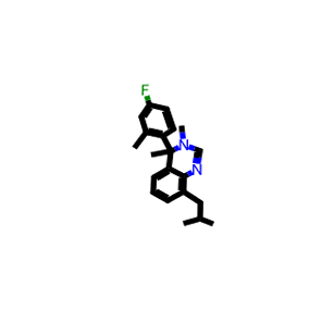 Cc1cc(F)ccc1C1(C)c2cccc(CC(C)C)c2N=CN1C